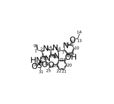 C=Cc1nc2nc(C3=C=C=CC(OCC)=N3)n(-c3c(O)cccc3OC)c2nc1NS(C)(=O)=O